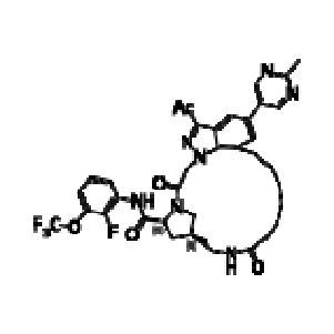 CC(=O)c1nn2c3c(cc(-c4cnc(C)nc4)cc13)CCCCCCC(=O)NC[C@]1(C)C[C@@H](C(=O)Nc3cccc(OC(F)(F)F)c3F)N(C1)C(=O)C2